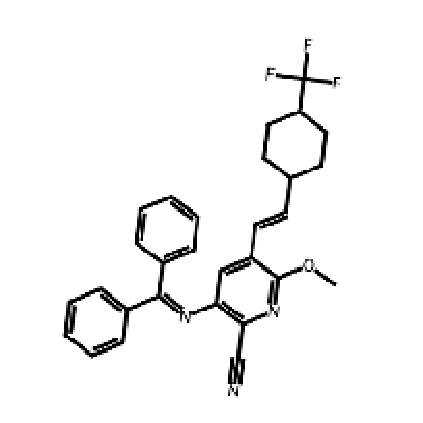 COc1nc(C#N)c(N=C(c2ccccc2)c2ccccc2)cc1/C=C/C1CCC(C(F)(F)F)CC1